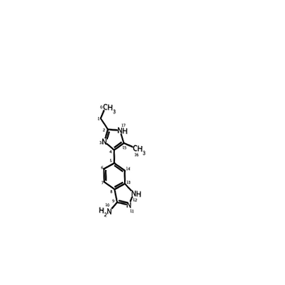 CCc1nc(-c2ccc3c(N)n[nH]c3c2)c(C)[nH]1